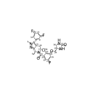 C[C@H]1c2nn(C)c(-c3cc(F)cc(F)c3)c2CCN1C(=O)c1cc(F)cc(OC[C@H]2CNC(=O)N2)c1Cl